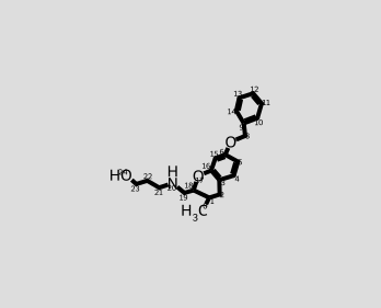 CC1Cc2ccc(OCc3ccccc3)cc2OC1CNCCCO